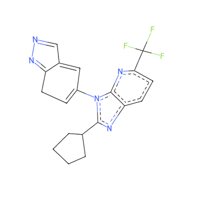 FC(F)(F)c1ccc2nc(C3CCCC3)n(C3=CCC4=NN=CC4=C3)c2n1